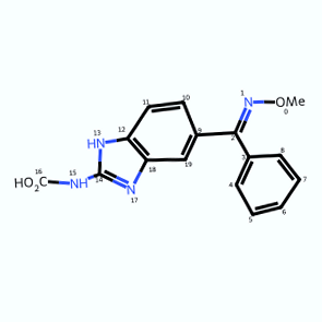 CON=C(c1ccccc1)c1ccc2[nH]c(NC(=O)O)nc2c1